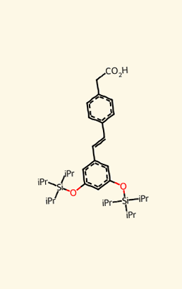 CC(C)[Si](Oc1cc(C=Cc2ccc(CC(=O)O)cc2)cc(O[Si](C(C)C)(C(C)C)C(C)C)c1)(C(C)C)C(C)C